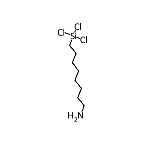 NCCCCCCCC[Si](Cl)(Cl)Cl